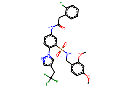 COc1ccc(CNS(=O)(=O)c2cc(NC(=O)Cc3ccccc3F)ccc2-n2cc(CC(F)(F)F)cn2)c(OC)c1